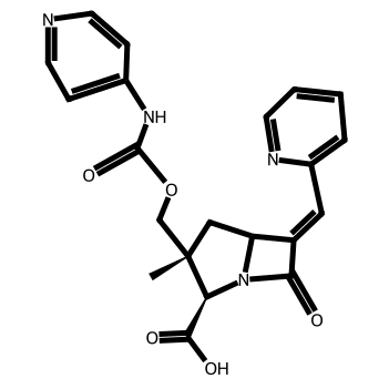 C[C@@]1(COC(=O)Nc2ccncc2)CC2/C(=C\c3ccccn3)C(=O)N2[C@H]1C(=O)O